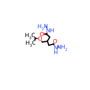 CC(C)OCC(CC(=O)NN)CC(=O)NN